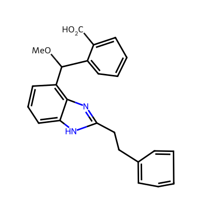 COC(c1ccccc1C(=O)O)c1cccc2[nH]c(CCc3ccccc3)nc12